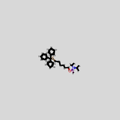 CC(C)N(C(C)C)P(C)OCCCCCCSC(c1ccccc1)(c1ccccc1)c1ccccc1